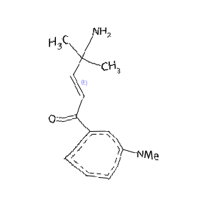 CNc1cccc(C(=O)/C=C/C(C)(C)N)c1